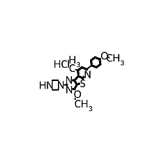 CCOc1nc(N2CCNCC2)nc2c1sc1nc(-c3ccc(OC)cc3)cc(C)c12.Cl